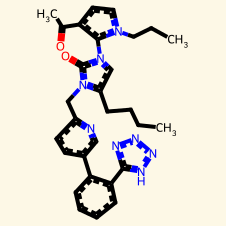 CCCCc1cn(-c2c(C(C)=O)ccn2CCC)c(=O)n1Cc1ccc(-c2ccccc2-c2nnn[nH]2)cn1